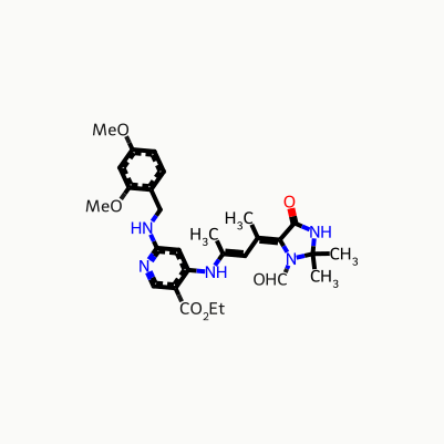 CCOC(=O)c1cnc(NCc2ccc(OC)cc2OC)cc1N/C(C)=C/C(C)=C1/C(=O)NC(C)(C)N1C=O